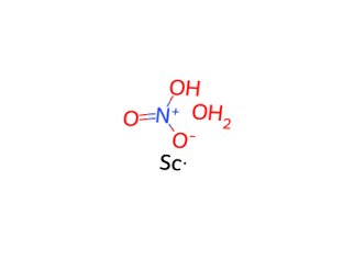 O.O=[N+]([O-])O.[Sc]